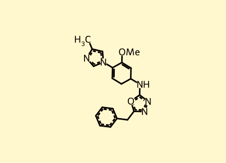 COC1=CC(Nc2nnc(Cc3ccccc3)o2)CC=C1n1cnc(C)c1